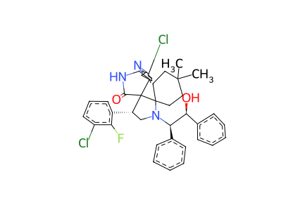 CC1(C)CCC2(CC1)N([C@H](c1ccccc1)[C@@H](O)c1ccccc1)C[C@H](c1cccc(Cl)c1F)C21C(=O)Nc2nc(Cl)ccc21